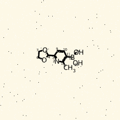 Cc1nc(C2OCCO2)ccc1B(O)O